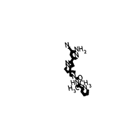 CC(C)(NC(=O)N1CC2(CCn3nc(-c4cnc(N)c(C#N)c4)cc32)C1)c1ccccn1